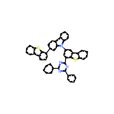 c1ccc(-c2nc(-c3ccccc3)nc(-c3cc(-n4c5ccccc5c5ccc(-c6cccc7c6sc6ccccc67)cc54)cc4c3sc3ccccc34)n2)cc1